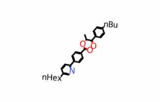 CCCCCCc1ccc(-c2ccc(C(=O)OC(C)C(=O)c3ccc(CCCC)cc3)cc2)nc1